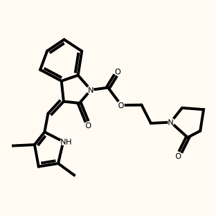 Cc1cc(C)c(/C=C2\C(=O)N(C(=O)OCCN3CCCC3=O)c3ccccc32)[nH]1